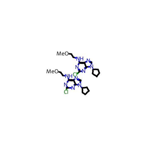 COCCNc1nc(Cl)nc2c1ncn2C1CCCC1.COCCNc1nc(Cl)nc2c1ncn2C1CCCC1